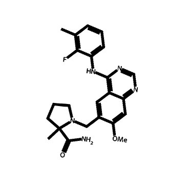 COc1cc2ncnc(Nc3cccc(C)c3F)c2cc1CN1CCCC1(C)C(N)=O